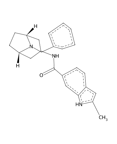 Cc1cc2ccc(C(=O)NC3C[C@H]4CC[C@@H](C3)N4Cc3ccccc3)cc2[nH]1